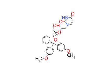 COc1ccc(C(OC[C@H](CO)OCCn2ccc(=O)[nH]c2=O)(c2ccccc2)c2ccc(OC)cc2)cc1